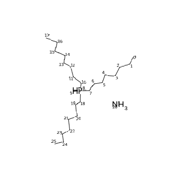 CCCCCCCC[PH](C)(CCCCCCCC)CCCCCCCC.N